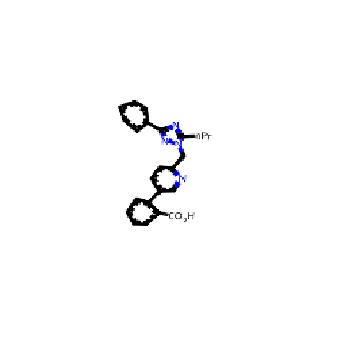 CCCc1nc(-c2ccccc2)nn1Cc1ccc(-c2ccccc2C(=O)O)cn1